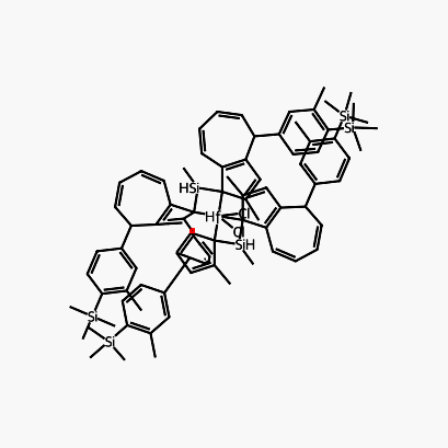 CC1=CC2=C(C=CC=CC2c2ccc([Si](C)(C)C)c(C)c2)[C]12[SiH](C)[C]1(C(C)=CC3=C1C=CC=CC3c1ccc([Si](C)(C)C)c(C)c1)[Hf]21([Cl])([Cl])[C]2(C(C)=CC3=C2C=CC=CC3c2ccc([Si](C)(C)C)c(C)c2)[SiH](C)[C]12C(C)=CC1=C2C=CC=CC1c1ccc([Si](C)(C)C)c(C)c1